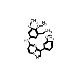 CCc1cc(Nc2ccn3ncc(-c4cccc(OC)c4)c3n2)cc(OC)c1OC